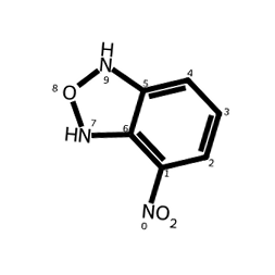 O=[N+]([O-])c1cccc2c1NON2